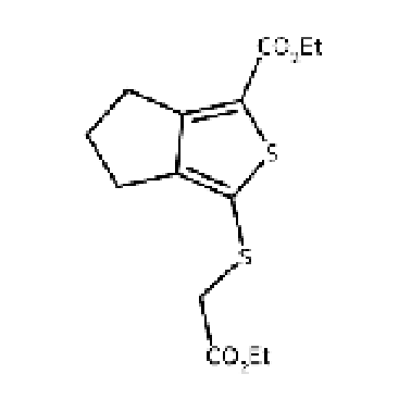 CCOC(=O)CSc1sc(C(=O)OCC)c2c1CCC2